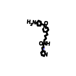 Nc1ccc(C(=O)N2CCC(CCCCNC(=O)/C=C/c3cccnc3)CC2)cc1